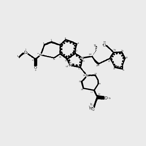 COC(=O)N1CCc2ccc3c(nc(N4CCC(C(=O)O)CC4)n3[C@H](C)Cc3ccccc3Cl)c2C1